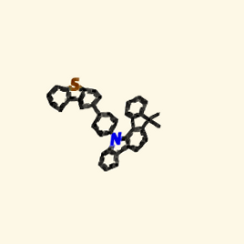 CC1(C)c2ccccc2-c2c1ccc1c3ccccc3n(-c3ccc(-c4ccc5sc6ccccc6c5c4)cc3)c21